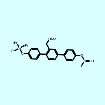 COCc1cc(-c2ccc(OS(=P)I)cc2)ccc1-c1ccc(O[Si](C(C)C)(C(C)C)C(C)C)cc1